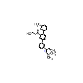 C=C/C(=C\N(C)C)c1cccc(-c2ncc(-c3cccc(C)n3)c(NCCO)n2)c1